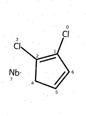 ClC1=C(Cl)CC=C1.[Nb]